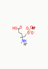 CCC(C)(CCC(=O)O)NC.O=P([O-])([O-])O.[H+].[H+]